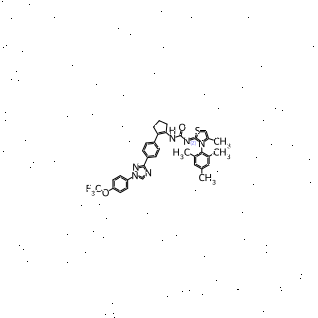 Cc1cc(C)c(-n2c(C)cs/c2=N\C(=O)NC2=C(c3ccc(-c4ncn(-c5ccc(OC(F)(F)F)cc5)n4)cc3)CCC2)c(C)c1